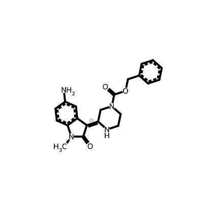 CN1C(=O)/C(=C2/CN(C(=O)OCc3ccccc3)CCN2)c2cc(N)ccc21